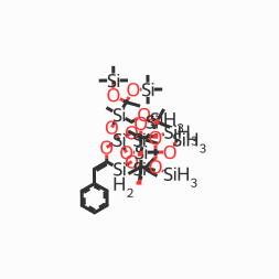 CC(O[Si](C)(C)C)(O[Si](C)(C)C)[Si](C)(CO[Si](C)(C)C)O[Si](OC(=Cc1ccccc1)[SiH2]O[Si](C)(C)C)(O[Si](C)(C)C)O[Si](C(C)(C)C)(C(C)(C)O[SiH3])C(O[SiH3])(O[SiH3])O[SiH3]